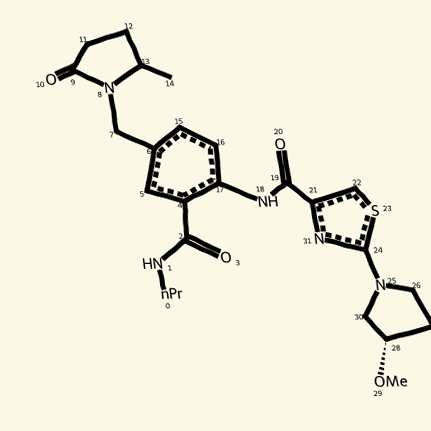 CCCNC(=O)c1cc(CN2C(=O)CCC2C)ccc1NC(=O)c1csc(N2CC[C@H](OC)C2)n1